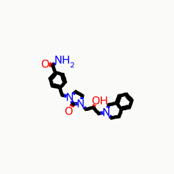 NC(=O)c1ccc(CN2CCN(CC(O)CN3CCc4ccccc4C3)C2=O)cc1